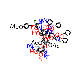 COc1ccc(CO[C@H](C(=O)N[C@H]2[C@H](O)[C@@H](O[C@@H]3O[C@H](COC(C)=O)[C@@H](O[C@H]4O[C@@H](CN=[N+]=[N-])[C@H](O)[C@H](O)[C@H]4N=[N+]=[N-])[C@H]3OC(C)=O)[C@H](O[C@H]3O[C@H](CN(Cc4ccccc4)C(=O)OCc4ccccc4)CC[C@H]3N=[N+]=[N-])[C@@H](NC(=O)OCc3ccccc3)[C@@H]2OCc2ccccc2)[C@H](F)CN=[N+]=[N-])cc1